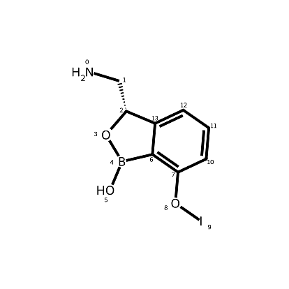 NC[C@H]1OB(O)c2c(OI)cccc21